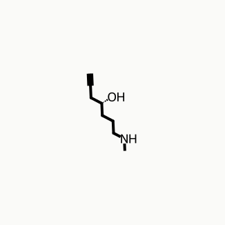 C#CC[C@H](O)CCCNC